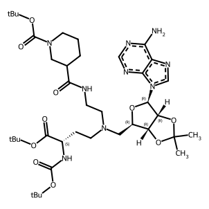 CC(C)(C)OC(=O)N[C@@H](CCN(CCNC(=O)C1CCCN(C(=O)OC(C)(C)C)C1)C[C@H]1O[C@@H](n2cnc3c(N)ncnc32)[C@@H]2OC(C)(C)O[C@@H]21)C(=O)OC(C)(C)C